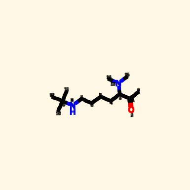 CC(=O)C(CCCCNC(C)(C)C)N(C)C